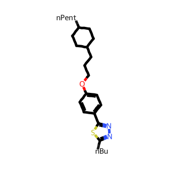 CCCCCC1CCC(CCCOc2ccc(-c3nnc(CCCC)s3)cc2)CC1